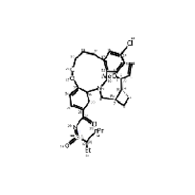 C=C[C@H](OC)[C@@H]1CC[C@H]1CN1Cc2ccc(Cl)cc2CCCCOC2=CC=C(C(=O)/N=[SH](=O)\[C@H](CC)CCC)CC21